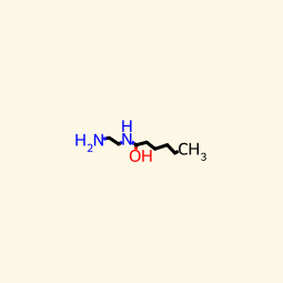 CCCCCC(O)NCCN